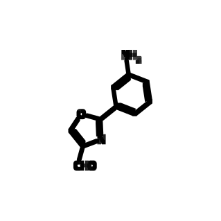 Nc1cccc(-c2nc(C=O)co2)c1